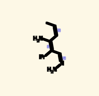 C\C=C/C(N)=C(\C=N/N)C(C)C